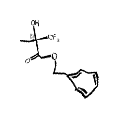 C[C@](O)(C(=O)OCc1ccccc1)C(F)(F)F